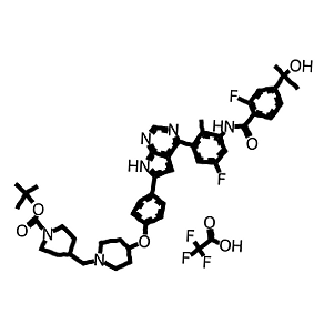 Cc1c(NC(=O)c2ccc(C(C)(C)O)cc2F)cc(F)cc1-c1ncnc2[nH]c(-c3ccc(OC4CCN(CC5CCN(C(=O)OC(C)(C)C)CC5)CC4)cc3)cc12.O=C(O)C(F)(F)F